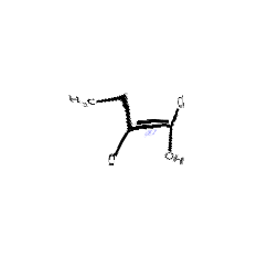 CC/C(Cl)=C(/O)Cl